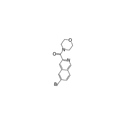 O=C(c1cc2cc(Br)ccc2cn1)N1CCOCC1